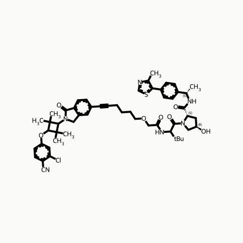 Cc1ncsc1-c1ccc([C@H](C)NC(=O)[C@@H]2C[C@@H](O)CN2C(=O)C(NC(=O)COCCCCC#Cc2ccc3c(c2)CN(C2C(C)(C)C(Oc4ccc(C#N)c(Cl)c4)C2(C)C)C3=O)C(C)(C)C)cc1